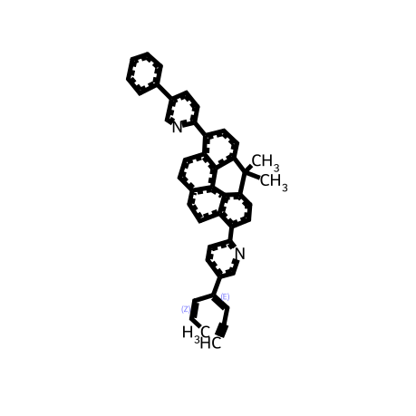 C#C/C=C(\C=C/C)c1ccc(-c2ccc3c4c2ccc2ccc5c(-c6ccc(-c7ccccc7)cn6)ccc(c5c24)C3(C)C)nc1